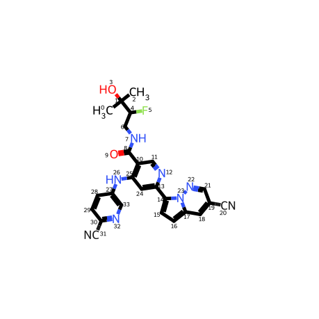 CC(C)(O)C(F)CNC(=O)c1cnc(-c2ccc3cc(C#N)cnn23)cc1Nc1ccc(C#N)nc1